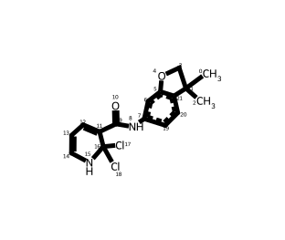 CC1(C)COc2cc(NC(=O)C3=CC=CNC3(Cl)Cl)ccc21